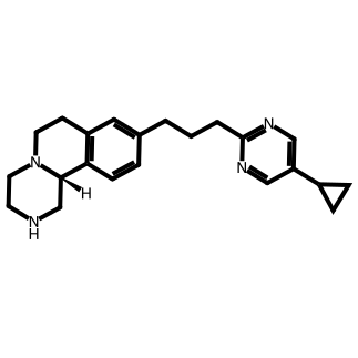 c1cc2c(cc1CCCc1ncc(C3CC3)cn1)CCN1CCNC[C@@H]21